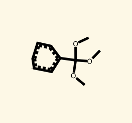 COC(OC)(OC)c1c[c]ccc1